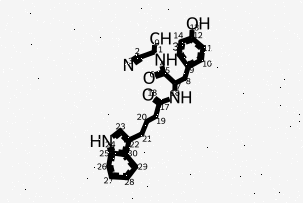 CC(C#N)NC(=O)C(Cc1ccc(O)cc1)NC(=O)CCCc1c[nH]c2ccccc12